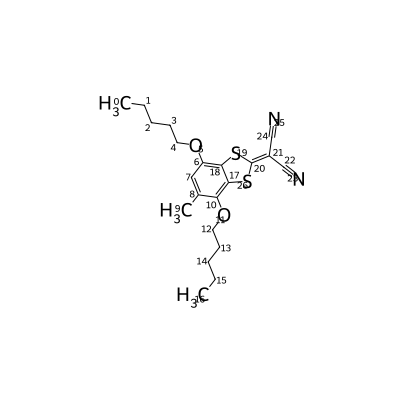 CCCCCOc1cc(C)c(OCCCCC)c2c1SC(=C(C#N)C#N)S2